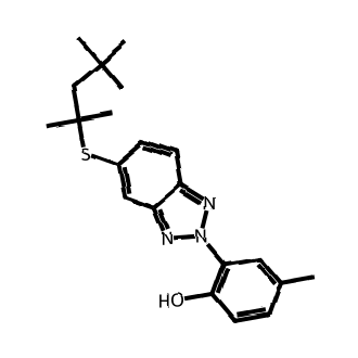 Cc1ccc(O)c(-n2nc3ccc(SC(C)(C)CC(C)(C)C)cc3n2)c1